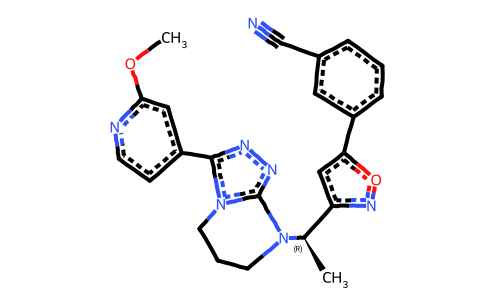 COc1cc(-c2nnc3n2CCCN3[C@H](C)c2cc(-c3cccc(C#N)c3)on2)ccn1